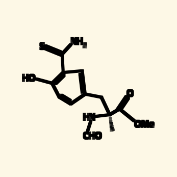 COC(=O)[C@](C)(Cc1ccc(O)c(C(N)=S)c1)NC=O